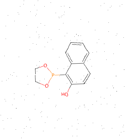 Oc1ccc2ccccc2c1P1OCCO1